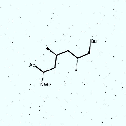 CC[C@H](C)C[C@H](C)C[C@H](C)C[C@H](NC)C(C)=O